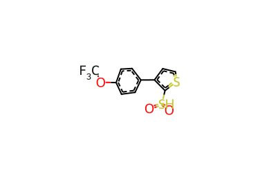 O=[SH](=O)c1sccc1-c1ccc(OC(F)(F)F)cc1